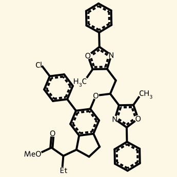 CCC(C(=O)OC)C1CCc2cc(OC(Cc3nc(-c4ccccc4)oc3C)c3nc(-c4ccccc4)oc3C)c(-c3ccc(Cl)cc3)cc21